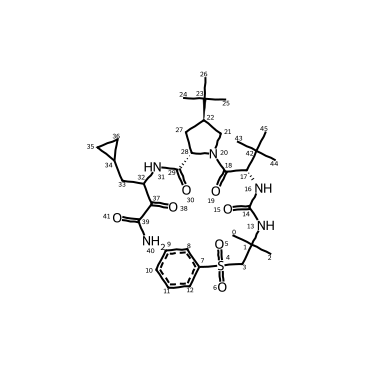 CC(C)(CS(=O)(=O)c1ccccc1)NC(=O)N[C@H](C(=O)N1C[C@H](C(C)(C)C)C[C@H]1C(=O)NC(CC1CC1)C(=O)C(N)=O)C(C)(C)C